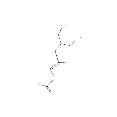 C=C(N)S/C=C(\C)CC(COC(C)=O)COC(C)=O